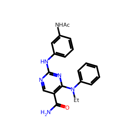 CCN(c1ccccc1)c1nc(Nc2cccc(NC(C)=O)c2)ncc1C(N)=O